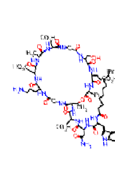 CC(C)CCCCCCCCC(=O)NC(Cc1c[nH]c2ccccc12)C(=O)NC(CC(N)=O)C(=O)NC(CC(=O)O)C(=O)NC1C(=O)NCC(=O)NC(CCCN)C(=O)NC(CC(=O)O)C(=O)NC(C)C(=O)NC(CC(=O)O)C(=O)NCC(=O)NC(CO)C(=O)NC(CCC(=O)O)C(=O)NC(C(C)C)C(=O)OC1C